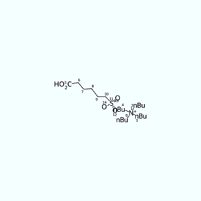 CCCC[N+](CCCC)(CCCC)CCCC.O=C(O)CCCCCS(=O)(=O)[O-]